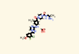 COc1ccc(-c2cnc3c(Nc4ccc(C(=O)N5CCN(C(=O)NC[C@H](C)N)CC5)c(C)c4)nccn23)c(Cl)c1F.O=CO